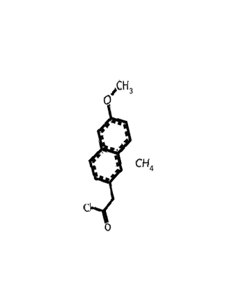 C.COc1ccc2cc(CC(=O)Cl)ccc2c1